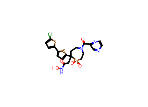 O=C(CC1(c2ccc(-c3ccc(Cl)s3)s2)CCN(C(=O)c2cnccn2)CCS1(=O)=O)NO